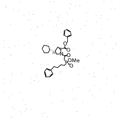 COP(=O)(CCCCc1ccccc1)CC(=O)N1C[C@H](C2CCCCC2)C[C@H]1C(=O)OCc1ccccc1